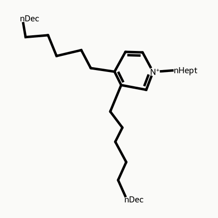 CCCCCCCCCCCCCCCc1cc[n+](CCCCCCC)cc1CCCCCCCCCCCCCCC